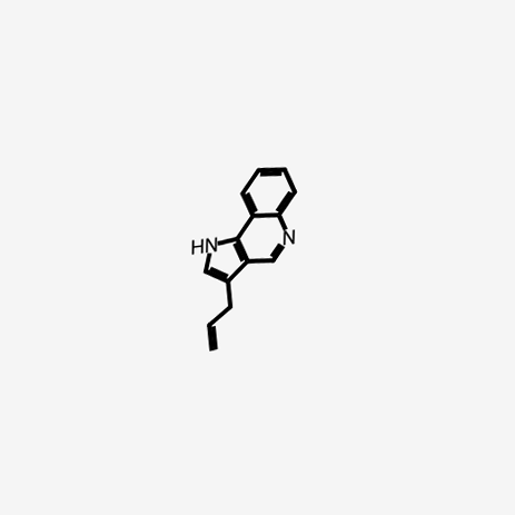 C=CCc1c[nH]c2c1cnc1ccccc12